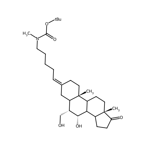 CN(CCCCC=C1CC[C@]2(C)C3CC[C@]4(C)C(=O)CCC4C3[C@H](O)[C@H](CO)C2C1)C(=O)OC(C)(C)C